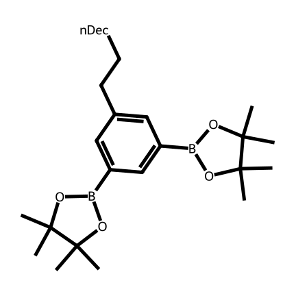 CCCCCCCCCCCCc1cc(B2OC(C)(C)C(C)(C)O2)cc(B2OC(C)(C)C(C)(C)O2)c1